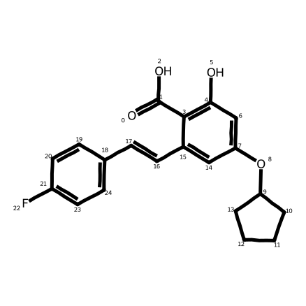 O=C(O)c1c(O)cc(OC2CCCC2)cc1C=Cc1ccc(F)cc1